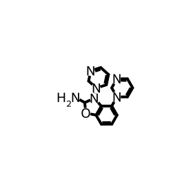 NC1Oc2cccc(N3C=CC=NC3)c2N1N1C=CC=NC1